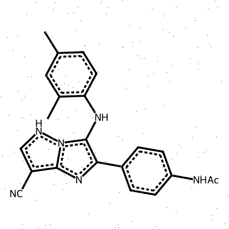 CC(=O)Nc1ccc(-c2nc3c(C#N)c[nH]n3c2Nc2ccc(C)cc2C)cc1